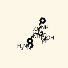 CN[C@H](Cc1ccccc1)C(=O)N1CCCC1C(=O)NCc1ccc2c(N)nccc2c1.O=C(O)C(F)(F)F